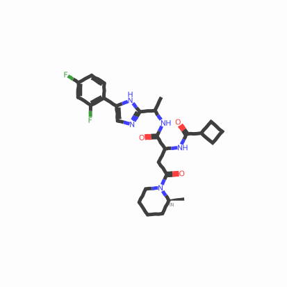 CC(NC(=O)C(CC(=O)N1CCCC[C@@H]1C)NC(=O)C1CCC1)c1ncc(-c2ccc(F)cc2F)[nH]1